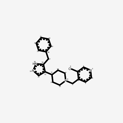 Clc1cnccc1CN1CCC(c2cn[nH]c2Cc2ccccc2)CC1